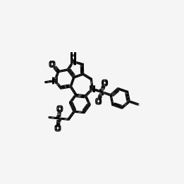 Cc1ccc(S(=O)(=O)N2Cc3c[nH]c4c(=O)n(C)cc(c34)-c3cc(CS(C)(=O)=O)ccc32)cc1